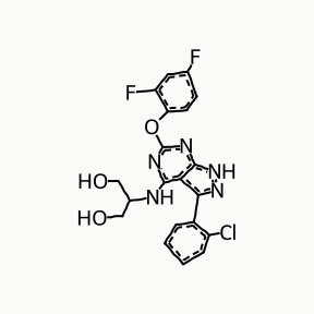 OCC(CO)Nc1nc(Oc2ccc(F)cc2F)nc2[nH]nc(-c3ccccc3Cl)c12